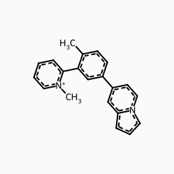 Cc1ccc(-c2ccn3cccc3c2)cc1-c1cccc[n+]1C